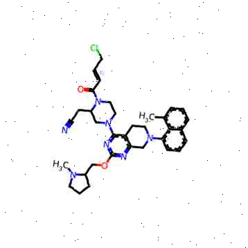 Cc1cccc2cccc(N3CCc4c(nc(OCC5CCCN5C)nc4N4CCN(C(=O)/C=C/CCl)C(CC#N)C4)C3)c12